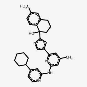 Cc1cc(Nc2cc(C3CCCCC3)ccn2)nc(-c2cnc(C3(O)CCCc4cc(C(=O)O)ccc43)s2)c1